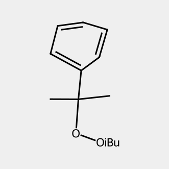 C[C](C)COOC(C)(C)c1ccccc1